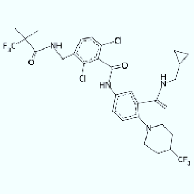 C=C(NCC1CC1)c1cc(NC(=O)c2c(Cl)ccc(CNC(=O)C(C)(C)C(F)(F)F)c2Cl)ccc1N1CCC(C(F)(F)F)CC1